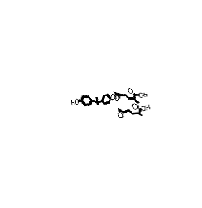 CC(=CCC1CO1)C(=O)O.CC(=CCC1CO1)C(=O)O.CC(C)(c1ccc(O)cc1)c1ccc(O)cc1